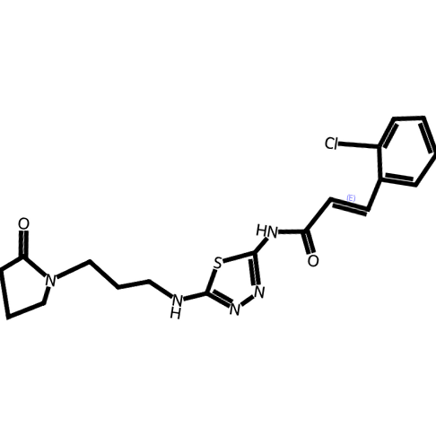 O=C(/C=C/c1ccccc1Cl)Nc1nnc(NCCCN2CCCC2=O)s1